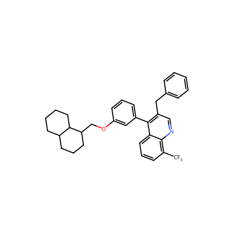 FC(F)(F)c1cccc2c(-c3cccc(OCC4CCCC5CCCCC54)c3)c(Cc3ccccc3)cnc12